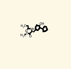 CCC(=O)N[C@@H](Cc1ccc(O)c(-c2ccccc2)c1)C(=O)OC